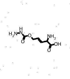 NNC(=O)OCC=CC(N)C(=O)O